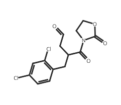 O=CCC(Cc1ccc(Cl)cc1Cl)C(=O)N1CCOC1=O